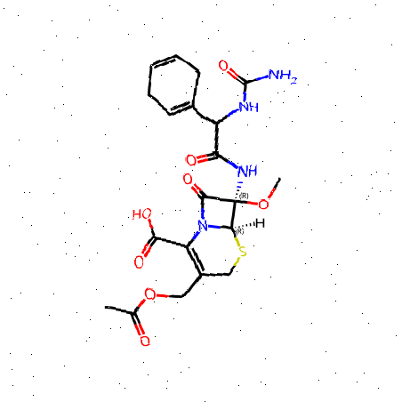 CO[C@]1(NC(=O)C(NC(N)=O)C2=CCC=CC2)C(=O)N2C(C(=O)O)=C(COC(C)=O)CS[C@@H]21